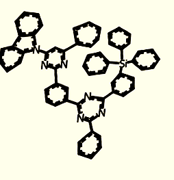 c1ccc(-c2cc(-n3c4ccccc4c4ccccc43)nc(-c3cccc(-c4nc(-c5ccccc5)nc(-c5cccc([Si](c6ccccc6)(c6ccccc6)c6ccccc6)c5)n4)c3)n2)cc1